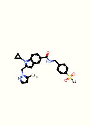 CCS(=O)(=O)c1ccc(CNC(=O)c2ccc3c(c2)cc(Cn2nccc2C(F)(F)F)n3C2CC2)cc1